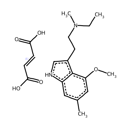 CCN(C)CCc1c[nH]c2cc(C)cc(OC)c12.O=C(O)/C=C/C(=O)O